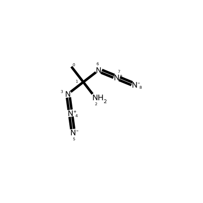 CC(N)(N=[N+]=[N-])N=[N+]=[N-]